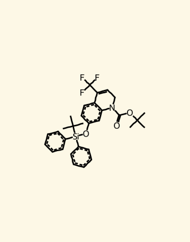 CC(C)(C)OC(=O)N1CC=C(C(F)(F)F)c2ccc(O[Si](c3ccccc3)(c3ccccc3)C(C)(C)C)cc21